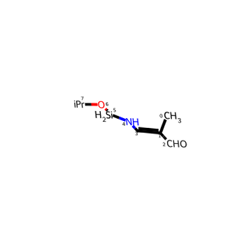 CC(C=O)=CN[SiH2]OC(C)C